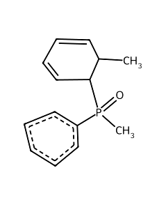 CC1C=CC=CC1P(C)(=O)c1ccccc1